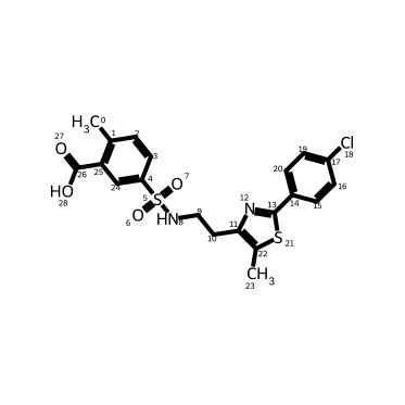 Cc1ccc(S(=O)(=O)NCCc2nc(-c3ccc(Cl)cc3)sc2C)cc1C(=O)O